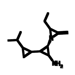 C=C1C(CC)N1[C@H]1C(N)C1C1CC1C(C)C